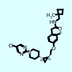 CC1(CNC(=O)Cc2ccc(OCC[C@@H]3C[C@@H]3C3CCN(c4ncc(Cl)cn4)CC3)cc2F)CCC1